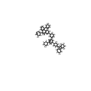 c1ccc(-c2nc(-c3ccc(-n4c5ccccc5c5ccccc54)cc3)cc(-c3cccc(-c4ccc5c(c4)nc(-c4ccccc4)c4cccc(-c6ccccc6)c45)c3)n2)cc1